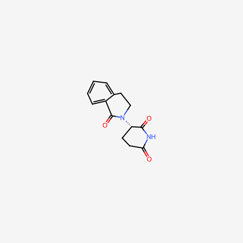 O=C1CC[C@H](N2CCc3ccccc3C2=O)C(=O)N1